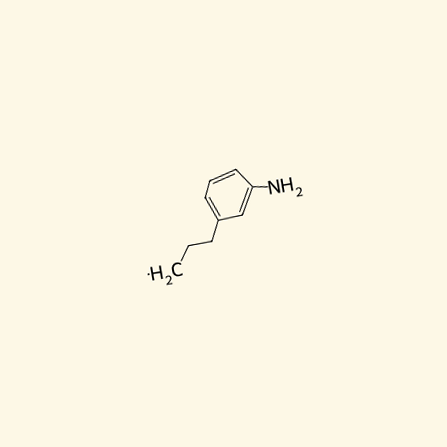 [CH2]CCc1cccc(N)c1